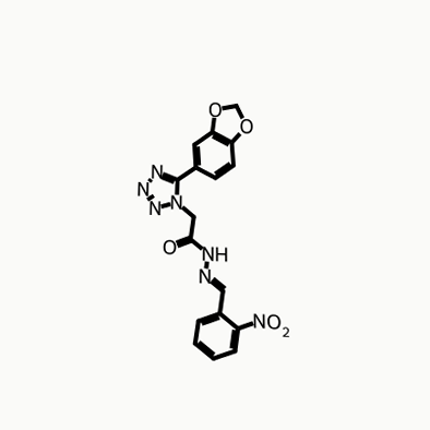 O=C(Cn1nnnc1-c1ccc2c(c1)OCO2)N/N=C/c1ccccc1[N+](=O)[O-]